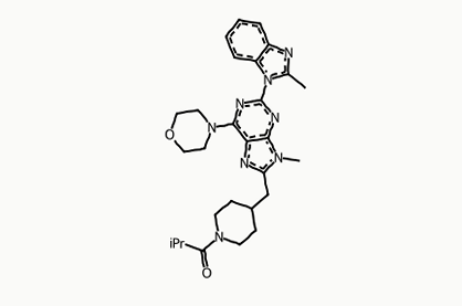 Cc1nc2ccccc2n1-c1nc(N2CCOCC2)c2nc(CC3CCN(C(=O)C(C)C)CC3)n(C)c2n1